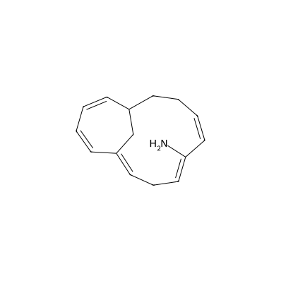 NC1=C\C/C=C2/C=CC=CC(CC/C=C\1)C2